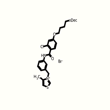 CCCCCCCCCCCCCCOc1ccc(C(=O)Nc2cccc(C[n+]3cscc3C)c2)c(Cl)c1.[Br-]